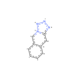 c1ccc2cn3nnnc3cc2c1